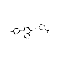 Cc1ccc(-c2c(Cl)cc(OC[C@@H]3CCN(C(=O)OC(C)(C)C)C3)c3nncn23)cc1